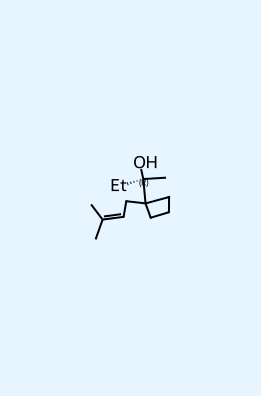 CC[C@@](C)(O)C1(CC=C(C)C)CCC1